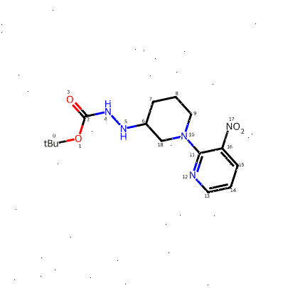 CC(C)(C)OC(=O)NNC1CCCN(c2ncccc2[N+](=O)[O-])C1